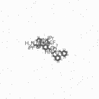 CC(C)C(NC(=O)[C@]1(C(=O)c2ccc(C(=O)N[C@H](Cc3ccccc3)C(=O)OCc3ccccc3)cc2)CCCN1C(=O)[C@@H](N)C(C)C)C(=O)C(F)(F)F